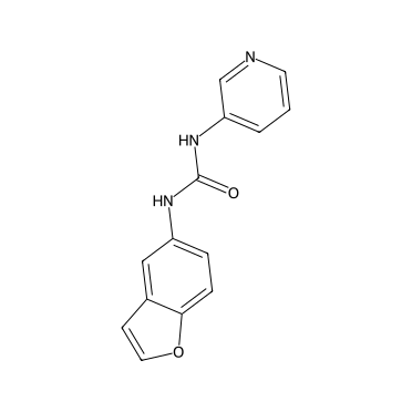 O=C(Nc1cccnc1)Nc1ccc2occc2c1